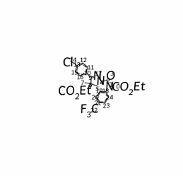 CCOC(=O)N(C(=O)N1CC(C)(C(=O)OCC)C(c2ccc(Cl)cc2)=N1)c1ccc(C(F)(F)F)cc1